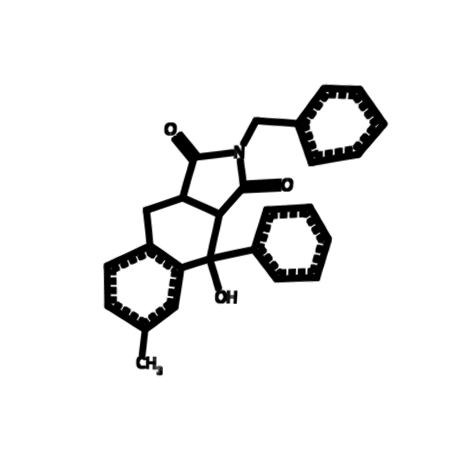 Cc1ccc2c(c1)C(O)(c1ccccc1)C1C(=O)N(Cc3ccccc3)C(=O)C1C2